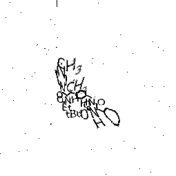 CCC(=O)N[C@@H](C(=O)N1CCN(C)CC1)[C@@H](C)c1ccc(CNC(=O)C(NC(=O)OC(C)(C)C)C2CCCCCC2)cc1